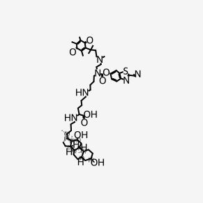 CC1=C(C)C(=O)C(C(C)(C)CCN(C)CCN(CCCCNCCCCC(NCCC[C@@H](C)[C@H]2CC[C@H]3[C@@H]4CC[C@@H]5C[C@H](O)CC[C@]5(C)[C@H]4C[C@H](O)[C@]23C)C(=O)O)C(=O)Oc2ccc3nc(C#N)sc3c2)=C(C)C1=O